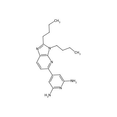 CCCCc1nc2ccc(-c3cc(N)nc(N)c3)nc2n1CCCC